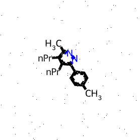 CCCc1c(C)nnc(-c2ccc(C)cc2)c1CCC